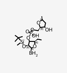 B[C@@H]1O[C@H](CC)C(OP(=O)(O)OC[C@H]2O[C@@H](C)CC2O)[C@@H]1O[Si](C)(C)C(C)(C)C